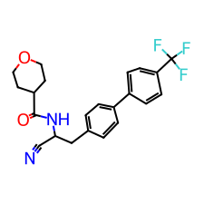 N#CC(Cc1ccc(-c2ccc(C(F)(F)F)cc2)cc1)NC(=O)C1CCOCC1